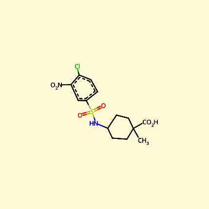 CC1(C(=O)O)CCC(NS(=O)(=O)c2ccc(Cl)c([N+](=O)[O-])c2)CC1